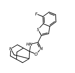 Fc1cccc2cc(C3=NOC4(N3)C3CC5CC4CN(C5)C3)sc12